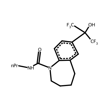 CCCNC(=O)N1CCCCc2cc(C(O)(C(F)(F)F)C(F)(F)F)ccc21